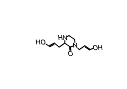 O=C1C(CC=CO)NCCN1CC=CO